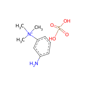 C[N+](C)(C)c1cccc(N)c1.O=S(=O)(O)O